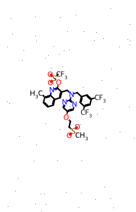 Cc1cccc2cc(CN(Cc3cc(C(F)(F)F)cc(C(F)(F)F)c3)c3ncc(OCCS(C)(=O)=O)cn3)c(OS(=O)(=O)C(F)(F)F)nc12